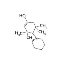 CC1(C)C=C(O)CC(C)(C)C1N1CCCCC1